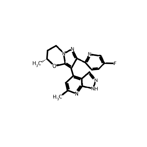 Cc1cc(-c2c(-c3ccc(F)cn3)nn3c2O[C@H](C)CC3)c2cn[nH]c2n1